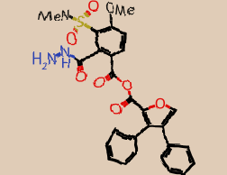 CNS(=O)(=O)c1c(OC)ccc(C(=O)OC(=O)c2occ(-c3ccccc3)c2-c2ccccc2)c1C(=O)NN